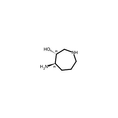 N[C@@H]1CCCNC[C@H]1O